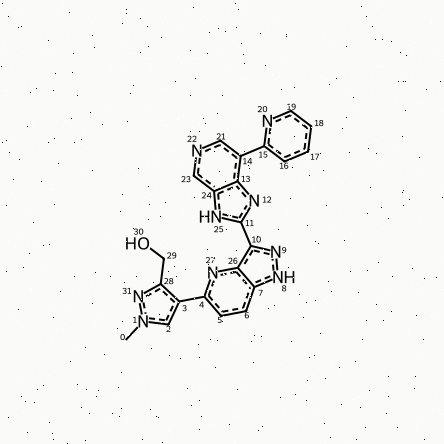 Cn1cc(-c2ccc3[nH]nc(-c4nc5c(-c6ccccn6)cncc5[nH]4)c3n2)c(CO)n1